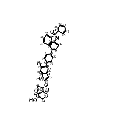 O=S(=Nc1ccc(-c2ccc(-c3nc4cc(O[C@@H]5CO[C@H]6[C@@H]5OC[C@H]6O)[nH]c4cc3F)cc2)cc1)(c1ccccc1)c1ccccc1